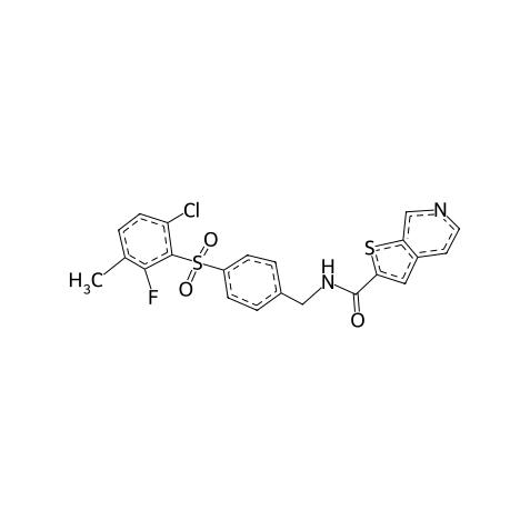 Cc1ccc(Cl)c(S(=O)(=O)c2ccc(CNC(=O)c3cc4ccncc4s3)cc2)c1F